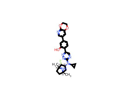 C[C@@]12CC[C@@](C)(N1)[C@@H](F)[C@@H](N(c1ncc(-c3ccc(-c4cnc5c(c4)OCCO5)cc3O)nn1)C1CC1)C2